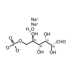 O.O=C[C@H](O)[C@@H](O)[C@H](O)[C@H](O)COP(=O)([O-])[O-].[Na+].[Na+]